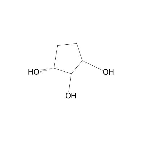 OC1CC[C@@H](O)C1O